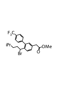 COC(=O)Cc1ccc(C(Br)CCC(C)C)c(-c2ccc(C(F)(F)F)cc2)c1